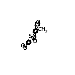 Cc1cc(N2CC(=O)N(c3ccc([N+](=O)[O-])cc3)C2=S)ccc1N1CCOCC1